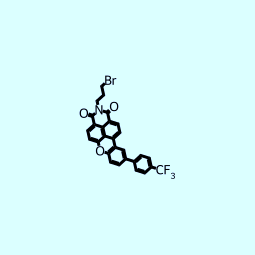 O=c1c2ccc3oc4ccc(-c5ccc(C(F)(F)F)cc5)cc4c4ccc(c(=O)n1CCCBr)c2c34